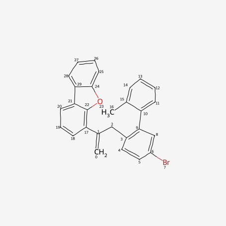 C=C(Cc1ccc(Br)cc1-c1ccccc1C)c1cccc2c1oc1ccccc12